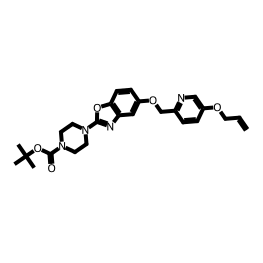 C=CCOc1ccc(COc2ccc3oc(N4CCN(C(=O)OC(C)(C)C)CC4)nc3c2)nc1